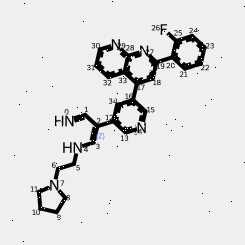 N=C/C(=C\NCCN1CCCC1)c1cncc(-c2cc(-c3ccccc3F)nc3ncccc23)c1